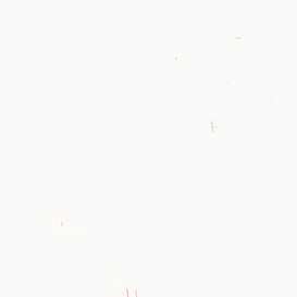 O=C(O)Cc1cccc(SC(F)(F)F)c1